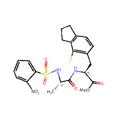 COC(=O)[C@H](Cc1ccc2c(c1F)CCC2)NC(=O)[C@H](C)NS(=O)(=O)c1ccccc1[N+](=O)[O-]